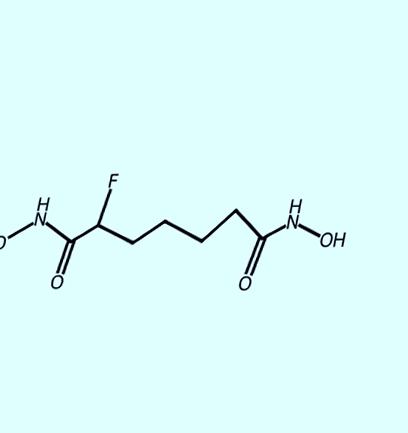 O=C(CCCCC(F)C(=O)NO)NO